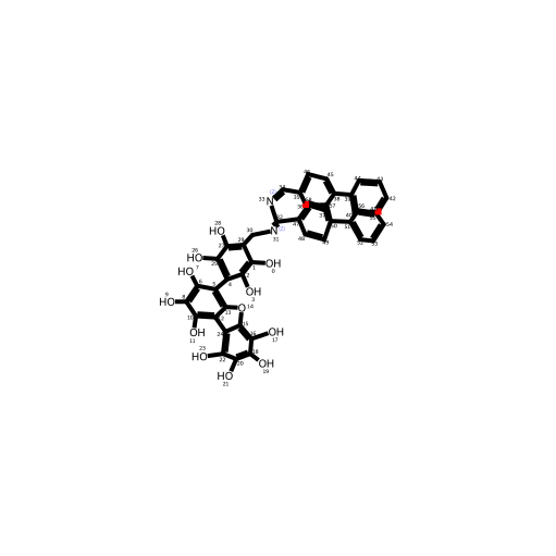 Oc1c(O)c(-c2c(O)c(O)c(O)c3c2oc2c(O)c(O)c(O)c(O)c23)c(O)c(O)c1C/N=C(\N=C/c1ccc(-c2ccccc2)cc1)c1ccc(-c2ccccc2)cc1